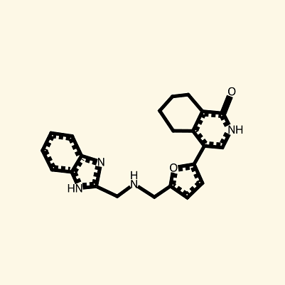 O=c1[nH]cc(-c2ccc(CNCc3nc4ccccc4[nH]3)o2)c2c1CCCC2